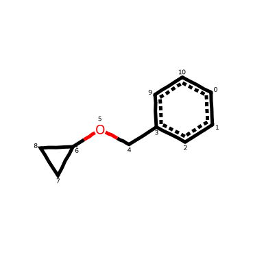 c1ccc(CO[C]2CC2)cc1